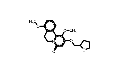 COc1cccc2c1CCn1c-2c(OC)c(OCC2CCCO2)cc1=O